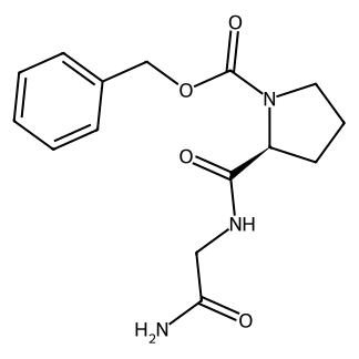 NC(=O)CNC(=O)[C@@H]1CCCN1C(=O)OCc1ccccc1